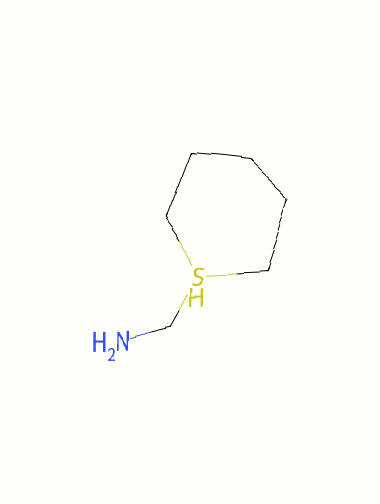 NC[SH]1CCCCC1